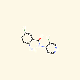 Nc1ccc(Cl)cc1C(=O)Nc1ccncc1Cl